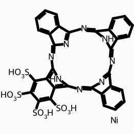 O=S(=O)(O)c1c(S(=O)(=O)O)c(S(=O)(=O)O)c2c3nc4nc(nc5[nH]c(nc6nc(nc([nH]3)c2c1S(=O)(=O)O)-c1ccccc1-6)c1ccccc51)-c1ccccc1-4.[Ni]